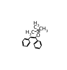 C[Si](C)(C)O/C(=C/c1ccccc1)c1ccccc1